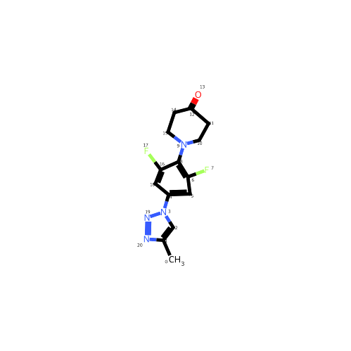 Cc1cn(-c2cc(F)c(N3CCC(=O)CC3)c(F)c2)nn1